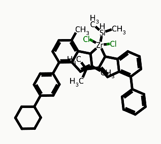 CC1=Cc2c(-c3ccc(C4CCCCC4)cc3)ccc(C)c2[CH]1[Zr]([Cl])([Cl])([CH]1C(C(C)C)=Cc2c(-c3ccccc3)cccc21)[SiH](C)C